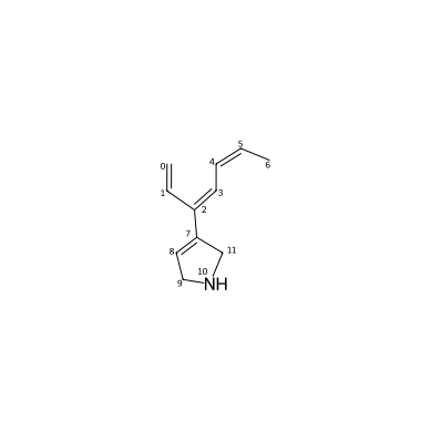 C=C/C(=C\C=C/C)C1=CCNC1